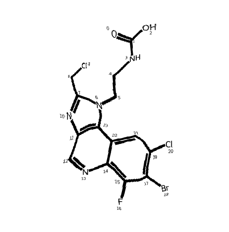 O=C(O)NCCn1c(CCl)nc2cnc3c(F)c(Br)c(Cl)cc3c21